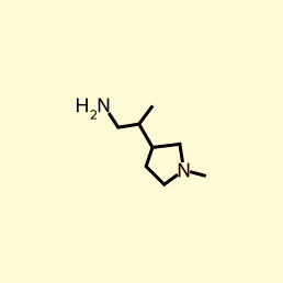 CC(CN)C1CCN(C)C1